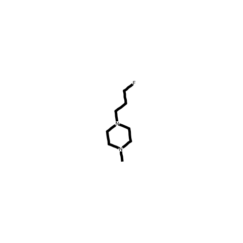 CN1CCN(CCCF)CC1